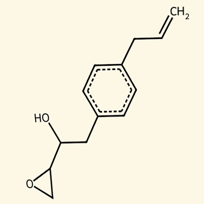 C=CCc1ccc(CC(O)C2CO2)cc1